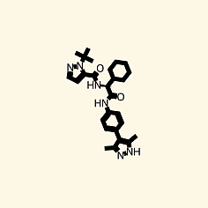 Cc1n[nH]c(C)c1-c1ccc(NC(=O)[C@@H](NC(=O)c2ccnn2C(C)(C)C)C2CCCCC2)cc1